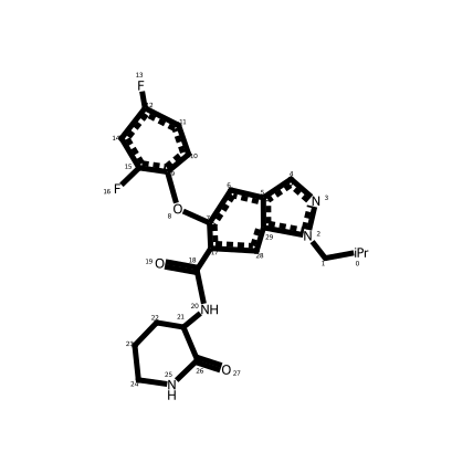 CC(C)Cn1ncc2cc(Oc3ccc(F)cc3F)c(C(=O)NC3CCCNC3=O)cc21